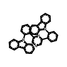 c1ccc(-n2c3ccccc3c3ccccc32)c(-c2cncc(-c3ccccc3-n3c4ccccc4c4ccccc43)n2)c1